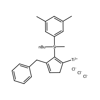 CCCC[Si](C)(C1=[C]([Ti+3])CC=C1Cc1ccccc1)c1cc(C)cc(C)c1.[Cl-].[Cl-].[Cl-]